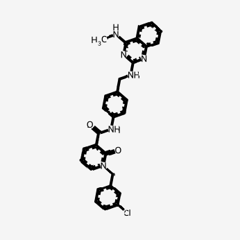 CNc1nc(NCc2ccc(NC(=O)c3cccn(Cc4cccc(Cl)c4)c3=O)cc2)nc2ccccc12